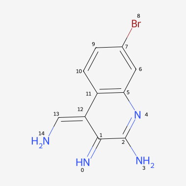 N=C1C(N)=Nc2cc(Br)ccc2/C1=C/N